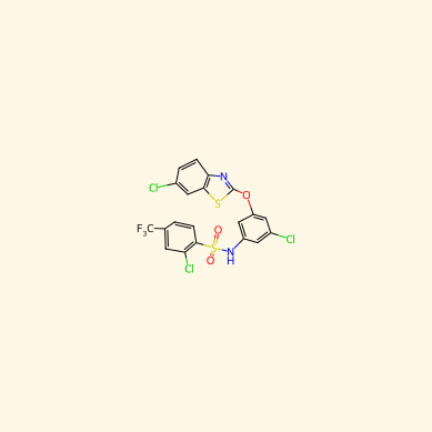 O=S(=O)(Nc1cc(Cl)cc(Oc2nc3ccc(Cl)cc3s2)c1)c1ccc(C(F)(F)F)cc1Cl